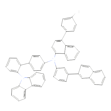 CCCCc1ccc(-c2ccc(N(c3ccc(-c4ccccc4-n4c5ccccc5c5ccccc54)cc3)c3cccc(-c4ccc5ccccc5c4)c3)c3ccccc23)cc1